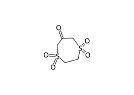 O=C1CS(=O)(=O)CCS(=O)(=O)C1